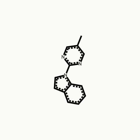 Cc1cnc(-n2ccc3ccccc32)nc1